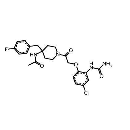 CC(=O)NC1(Cc2ccc(F)cc2)CCN(C(=O)COc2ccc(Cl)cc2NC(N)=O)CC1